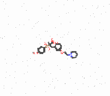 COc1ccc(S(=O)(=O)C(C)(Cc2cccc(OCCN3CCCCC3)c2)C(=O)O)cc1